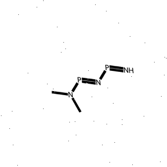 CN(C)P=NP=N